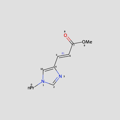 CCCn1cnc(/C=C/C(=O)OC)c1